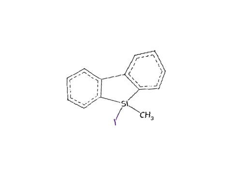 C[Si]1(I)c2ccccc2-c2ccccc21